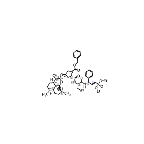 CCOP(=O)(/C=C/[C@H](NC(=O)[C@H](CC(C)C)NC(=O)[C@@H]1C[C@@H](O[C@H]2O[C@@H]3O[C@@]4(C)CC[C@H]5[C@H](C)CC[C@@H]([C@H]2C)[C@@]35OO4)CN1C(=O)OCc1ccccc1)c1ccccc1)OCC